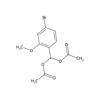 COc1cc(Br)ccc1I(OC(C)=O)OC(C)=O